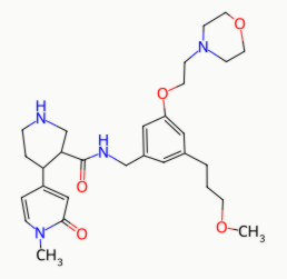 COCCCc1cc(CNC(=O)C2CNCCC2c2ccn(C)c(=O)c2)cc(OCCN2CCOCC2)c1